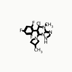 CC1CCN(C2=C(c3c(F)cc(F)cc3F)C(Cl)N(C)C3=NCNN32)C1